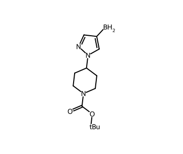 Bc1cnn(C2CCN(C(=O)OC(C)(C)C)CC2)c1